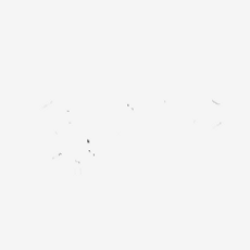 O=c1[nH]nc(C2CCN(C/C=C/c3ccccc3)CC2)c2ccccc12